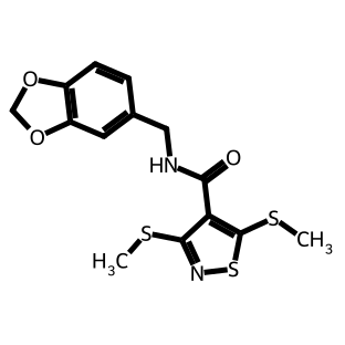 CSc1nsc(SC)c1C(=O)NCc1ccc2c(c1)OCO2